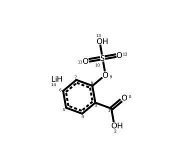 O=C(O)c1ccccc1OS(=O)(=O)O.[LiH]